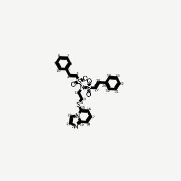 O=S(=O)(/C=C/c1ccccc1)N(CCSc1cccc2nccn12)S(=O)(=O)/C=C/c1ccccc1